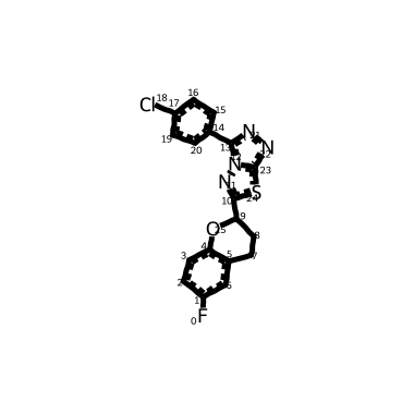 Fc1ccc2c(c1)CCC(c1nn3c(-c4ccc(Cl)cc4)nnc3s1)O2